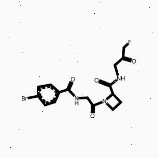 O=C(CF)CNC(=O)C1CCN1C(=O)CNC(=O)c1ccc(Br)cc1